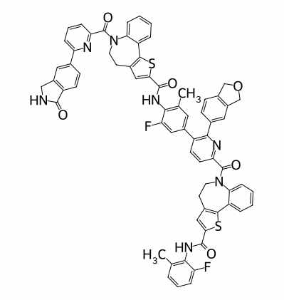 Cc1cc(-c2ccc(C(=O)N3CCc4cc(C(=O)Nc5c(C)cccc5F)sc4-c4ccccc43)nc2-c2ccc3c(c2)COC3)cc(F)c1NC(=O)c1cc2c(s1)-c1ccccc1N(C(=O)c1cccc(-c3ccc4c(c3)CNC4=O)n1)CC2